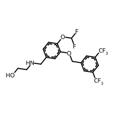 OCCNCc1ccc(OC(F)F)c(OCc2cc(C(F)(F)F)cc(C(F)(F)F)c2)c1